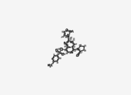 Cc1ccc(S(=O)(=O)Oc2cnc(N3CCCC3=O)c3ccc(N4C=CON4)nc23)cc1